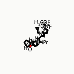 CC(C)c1c(-c2cc3ccc(N(C(F)F)S(C)(=O)=O)nc3n2CC2CC2)nc2cc(C(=O)N3[C@@H]4CC[C@@H](N)[C@H]3CC4)ccn12